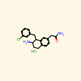 Cl.NC(=O)Cc1ccc2c(c1)C(Cc1cccc(Cl)c1)C(N)CC2